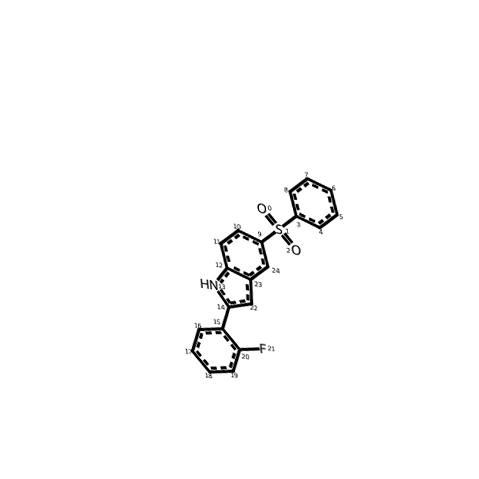 O=S(=O)(c1ccccc1)c1ccc2[nH]c(-c3ccccc3F)cc2c1